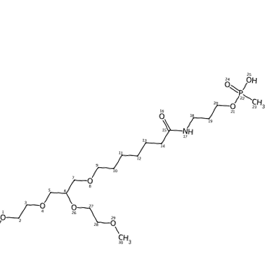 COCCOCC(COCCCCCCC(=O)NCCCOP(C)(=O)O)OCCOC